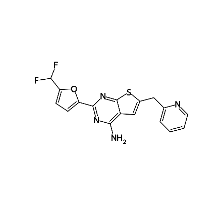 Nc1nc(-c2ccc(C(F)F)o2)nc2sc(Cc3ccccn3)cc12